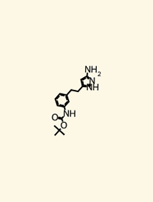 CC(C)(C)OC(=O)Nc1cccc(CCc2cc(N)n[nH]2)c1